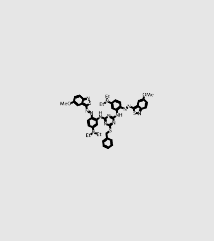 CCN(CC)c1ccc(/N=N/c2snc3ccc(OC)cc23)c(Nc2nc(Nc3cc(N(CC)CC)ccc3/N=N/c3snc4ccc(OC)cc34)nc(SCc3ccccc3)n2)c1